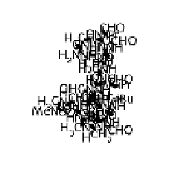 CC[C@@H](C)[C@H](C=O)N[C@H](NC(=O)[C@@H](NC(=O)[C@@H](NC(=O)[C@@H](NC(=O)[C@H](C)NC(=O)[C@H](C)NC(=O)[C@H](NCC=O)NC(=O)[C@@H](NC(=O)[C@H](C)NC(=O)[C@@H](N)NCC=O)N[C@@H](C=O)C(C)C)N[C@@H](C=O)CC(C)C)N[C@@H](C)C=O)N[C@@H](C=O)[C@H](C)CC)C(=O)N[C@@H](NCC=O)C(=O)N[C@@H](C)C(=O)N[C@@H](C)C(=O)N[C@@H](N[C@@H](C=O)[C@H](C)CC)C(=O)N[C@@H](C)C(=O)N[C@@H](C)C(=O)NC